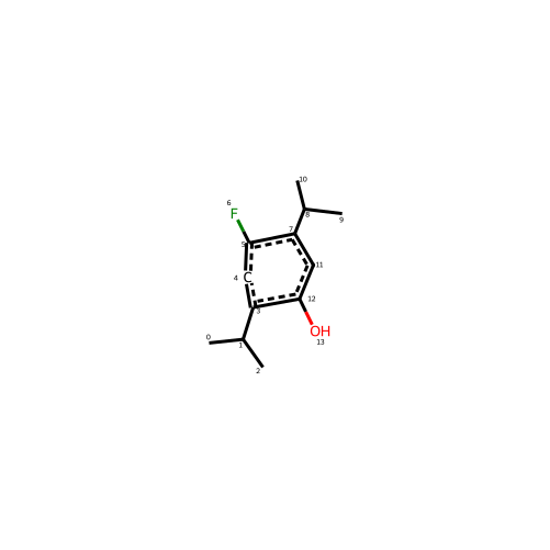 CC(C)c1cc(F)c(C(C)C)cc1O